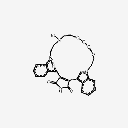 CCN1CCOCCOCCn2cc(c3ccccc32)C2=C(C(=O)NC2=O)c2nn(c3ccccc23)CC1